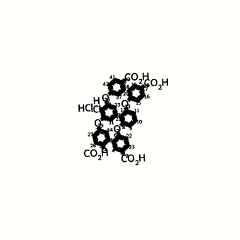 Cl.Cl.O=C(O)c1ccc(Oc2cccc(Oc3ccc(C(=O)O)cc3)c2)cc1.O=C(O)c1ccc(Oc2cccc(Oc3ccc(C(=O)O)cc3)c2)cc1